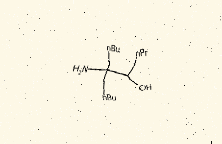 CCCCC(N)(CCCC)C(O)CCC